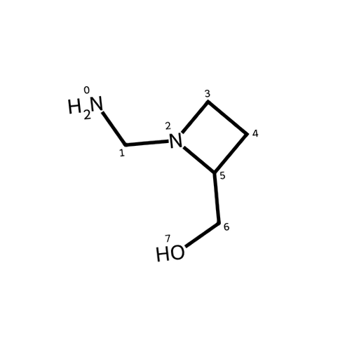 NCN1CCC1CO